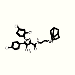 Cc1c(C(=O)NCCNC2C3CC4CC(C3)CC2C4)nn(-c2ccc(Cl)cc2Cl)c1-c1ccc(Cl)cc1